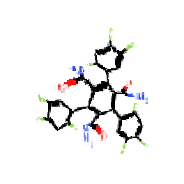 NC(=O)c1c(-c2cc(F)c(F)cc2F)c(C(N)=O)c(-c2cc(F)c(F)cc2F)c(C(N)=O)c1-c1cc(F)c(F)cc1F